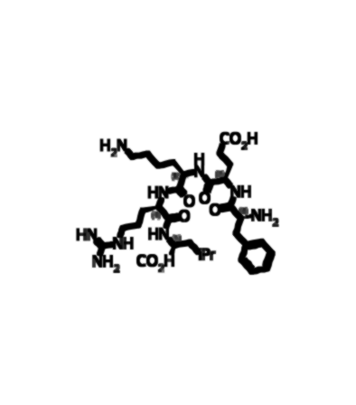 CC(C)C[C@H](NC(=O)[C@@H](CCCNC(=N)N)NC(=O)[C@@H](CCCCN)NC(=O)[C@@H](CCC(=O)O)NC(=O)[C@H](N)Cc1ccccc1)C(=O)O